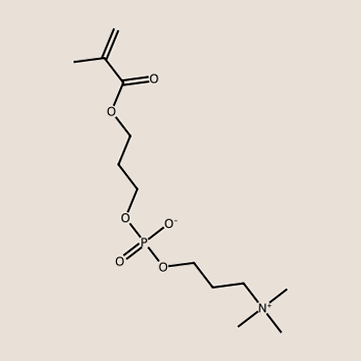 C=C(C)C(=O)OCCCOP(=O)([O-])OCCC[N+](C)(C)C